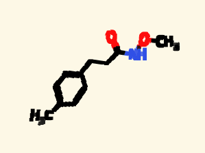 CONC(=O)CCc1ccc(C)cc1